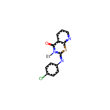 CCn1c(=Nc2ccc(Cl)cc2)sc2ncccc2c1=O